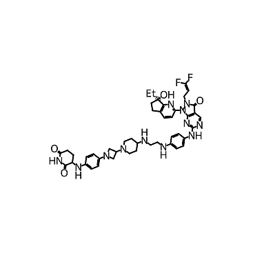 CC[C@@]1(O)CCc2ccc(-n3c4nc(Nc5ccc(NCCNC6CCN(C7CN(c8ccc(NC9CCC(=O)NC9=O)cc8)C7)CC6)cc5)ncc4c(=O)n3CC=C(F)F)nc21